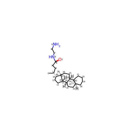 CC(CCC(=O)NCCN)[C@H]1CC[C@H]2[C@@H]3CC[C@@H]4CCCC[C@]4(C)[C@H]3CC[C@]12C